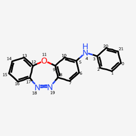 c1ccc(Nc2ccc3c(c2)Oc2ccccc2N=N3)cc1